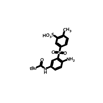 Cc1ccc(S(=O)(=O)c2cc(NC(=O)C(C)(C)C)ccc2N)cc1S(=O)(=O)O